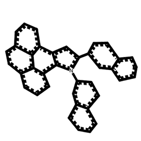 c1ccc2cc(-c3cc4c5cccc6ccc7cccc(c7c65)c4n3-c3ccc4ccccc4c3)ccc2c1